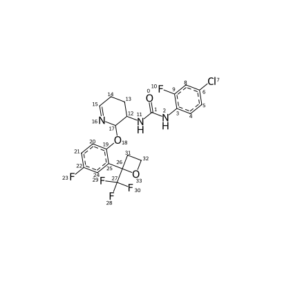 O=C(Nc1ccc(Cl)cc1F)NC1CCC=NC1Oc1ccc(F)cc1C1(C(F)(F)F)CCO1